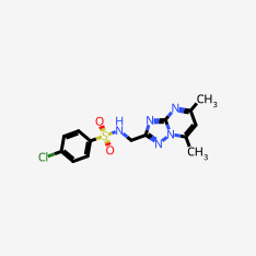 Cc1cc(C)n2nc(CNS(=O)(=O)c3ccc(Cl)cc3)nc2n1